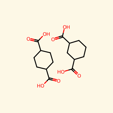 O=C(O)C1CCC(C(=O)O)CC1.O=C(O)C1CCCC(C(=O)O)C1